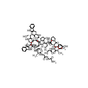 CNC(=O)[C@H](Cc1c[nH]c2ccccc12)NC(=O)[C@H](CO)NC(=O)[C@@H](Cc1c[nH]c2ccccc12)NC(=O)[C@@H]1C[C@@H](O)CN1C(=O)[C@H](CC(C)C)NC(=O)[C@H](CN)NC(=O)[C@@H]1CCCN1C(=O)[C@H](CC(N)=O)NC(=O)[C@H](C)N(C)C(=O)[C@H](Cc1ccc(O)cc1)NC(=O)CSC[C@@H](NC(=O)[C@@H](C)NC(=O)[C@H]1CC/C=C\CC[C@H](N)C(=O)N1C)C(=O)NCC(N)=O